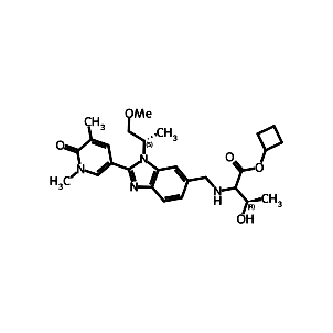 COC[C@H](C)n1c(-c2cc(C)c(=O)n(C)c2)nc2ccc(CNC(C(=O)OC3CCC3)[C@@H](C)O)cc21